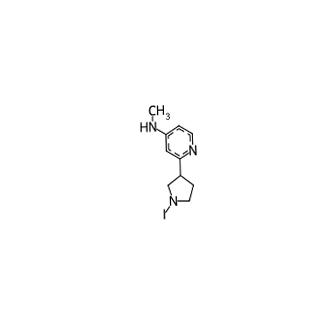 CNc1ccnc(C2CCN(I)C2)c1